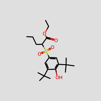 CCCC(C(=O)OCC)S(=O)(=O)c1cc(C(C)(C)C)c(O)c(C(C)(C)C)c1